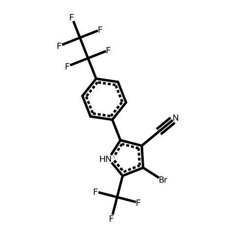 N#Cc1c(-c2ccc(C(F)(F)C(F)(F)F)cc2)[nH]c(C(F)(F)F)c1Br